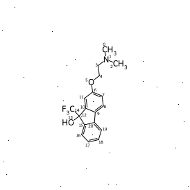 CN(C)CCOc1ccc2c(c1)C(O)(C(F)(F)F)c1ccccc1-2